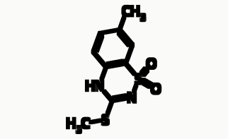 CSC1=NS(=O)(=O)c2cc(C)ccc2N1